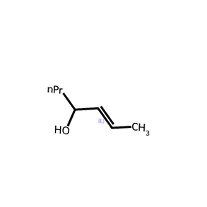 C/C=C/C(O)CCC